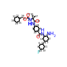 Nc1ccc(-c2ccc(F)cc2)cc1NC(=O)c1ccc(NC(=O)C2(NC(=O)OCc3ccccc3)CC2)cc1